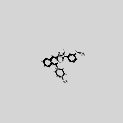 COc1cccc(S(=O)(=O)Nc2cc3ccccc3c(N3CCN(C)CC3)n2)c1